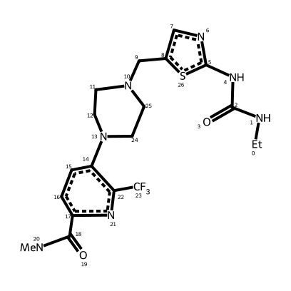 CCNC(=O)Nc1ncc(CN2CCN(c3ccc(C(=O)NC)nc3C(F)(F)F)CC2)s1